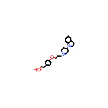 OCCc1ccc(OCCCN2CCC(N3CCc4ccccc43)CC2)cc1